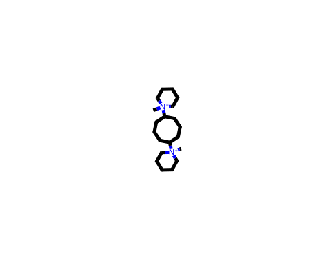 C[N+]1(C2CCCC([N+]3(C)CCCCC3)CCC2)CCCCC1